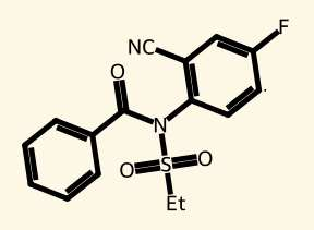 CCS(=O)(=O)N(C(=O)c1ccccc1)c1c[c]c(F)cc1C#N